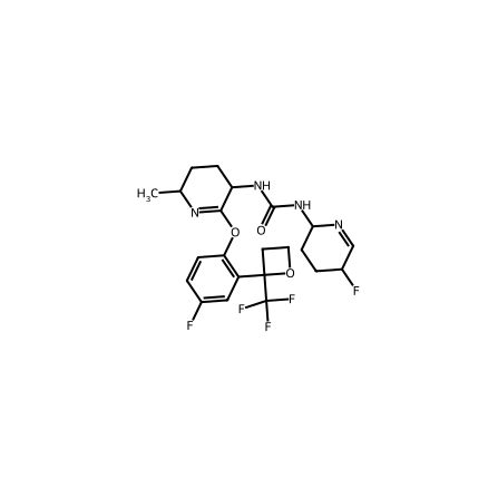 CC1CCC(NC(=O)NC2CCC(F)C=N2)C(Oc2ccc(F)cc2C2(C(F)(F)F)CCO2)=N1